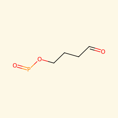 O=CCCCOP=O